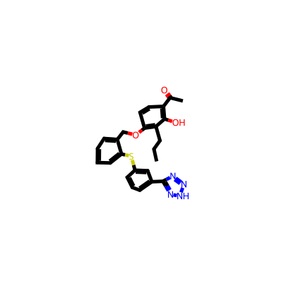 CCCc1c(OCc2ccccc2Sc2cccc(-c3nn[nH]n3)c2)ccc(C(C)=O)c1O